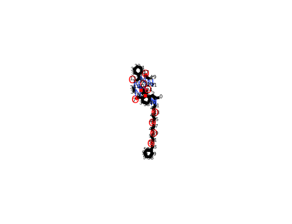 Cc1cc2cc(C(=O)N3CCN(C(=O)[C@@H](NC(=O)[C@H](C)N(C)C(=O)OC(C)(C)C)C4CCCCC4)CC3)ccc2n1CCOCCOCCOCCOCc1ccccc1